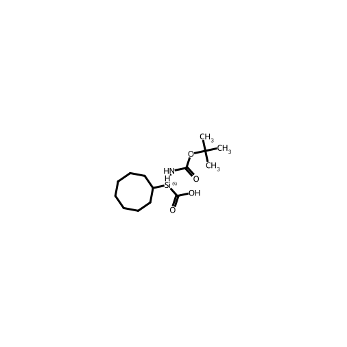 CC(C)(C)OC(=O)N[Si@H](C(=O)O)C1CCCCCCC1